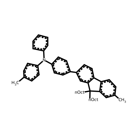 CCCCCCCCC1(CCCCCCCC)c2cc(C)ccc2-c2ccc(-c3ccc(N(c4ccccc4)c4ccc(C)cc4)cc3)cc21